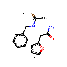 CC(=S)NCc1ccccc1.NC(=O)Cc1ccco1